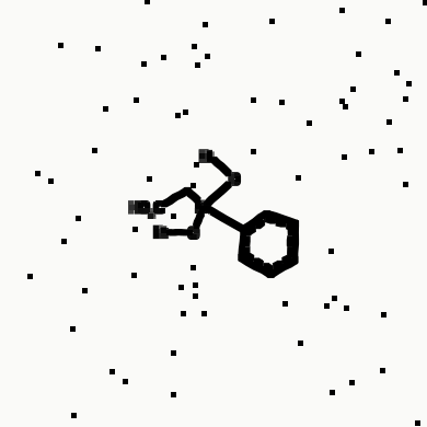 CCO[Si](CC(=O)O)(OCC)c1ccccc1